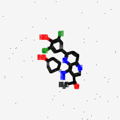 CC(=O)c1cnc2ccc(-c3cc(Cl)c(O)c(Cl)c3)nc2c1N[C@H]1CC[C@H](O)CC1